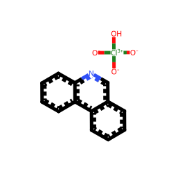 [O-][Cl+3]([O-])([O-])O.c1ccc2c(c1)cnc1ccccc12